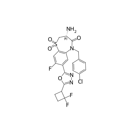 N[C@H]1CS(=O)(=O)c2cc(F)c(-c3nnc(C4CCC4(F)F)o3)cc2N(Cc2ccc(Cl)cc2)C1=O